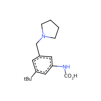 CC(C)(C)c1cc(CN2CCCC2)cc(NC(=O)O)c1